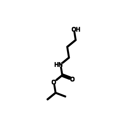 CC(C)OC(=O)NCCCO